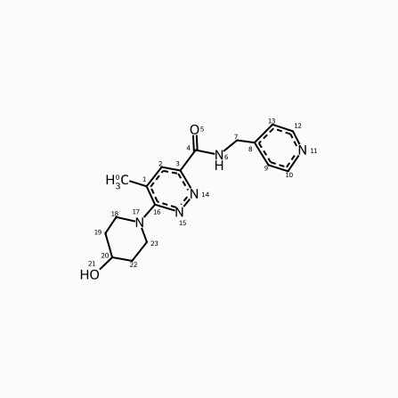 Cc1cc(C(=O)NCc2ccncc2)nnc1N1CCC(O)CC1